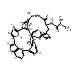 CC(C)[C@@H]1NC(=O)C(NC(=O)[C@H](C)O)Cc2ccc3c(c2)C24c5cccc(c5N[C@H]2O3)-c2cccc3c2C(=CC3)c2cnc(o2)-c2nc1oc24